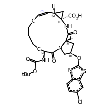 CC(C)(C)OC(=O)N[C@H]1CCCCC/C=C\[C@@H]2C[C@@]2(C(=O)O)NC(=O)[C@@H]2C[C@@H](Oc3nc4ccc(Cl)cc4s3)CN2C1=O